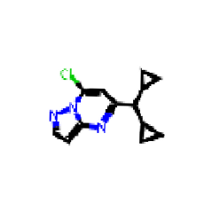 Clc1cc(C(C2CC2)C2CC2)nc2ccnn12